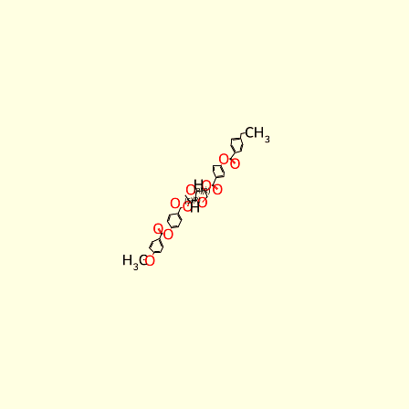 CCc1ccc(C(=O)Oc2ccc(C(=O)O[C@@H]3CO[C@H]4[C@@H]3OC[C@@H]4OC(=O)c3ccc(OC(=O)c4ccc(OC)cc4)cc3)cc2)cc1